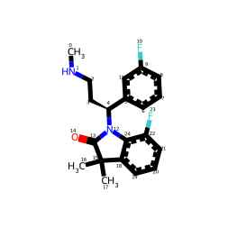 CNCC[C@@H](c1cccc(F)c1)N1C(=O)C(C)(C)c2cccc(F)c21